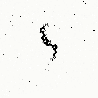 CCOCCc1ccc(-c2cc3sc4cc(-c5ccc(C)s5)sc4c3s2)s1